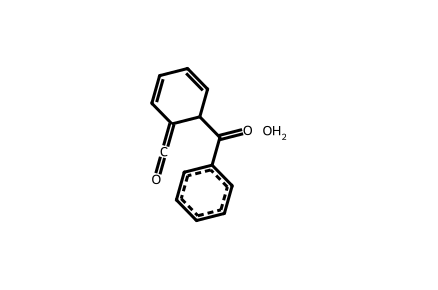 O.O=C=C1C=CC=CC1C(=O)c1ccccc1